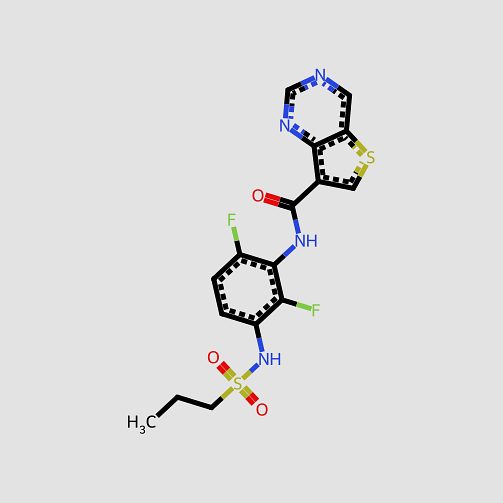 CCCS(=O)(=O)Nc1ccc(F)c(NC(=O)c2csc3cncnc23)c1F